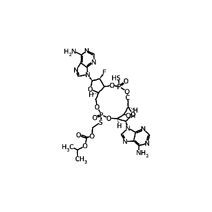 CC(C)OC(=O)OCSP1(=O)OC[C@H]2O[C@@H](n3cnc4c(N)ncnc43)[C@@H](F)C2OP(=O)(S)OC[C@H]2O[C@@H](n3cnc4c(N)ncnc43)[C@@H](O1)C2O